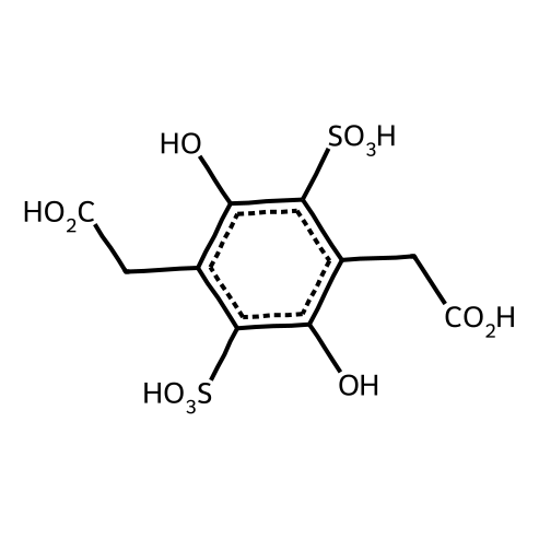 O=C(O)Cc1c(O)c(S(=O)(=O)O)c(CC(=O)O)c(O)c1S(=O)(=O)O